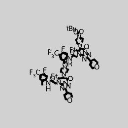 CCc1c(N2CCN(C(=O)OC(C)(C)C)CC2)c(=O)n2nc(C3=CCOCC3)nc2n1CC(=O)Nc1cc(F)c(C(F)(F)F)cc1C.CCc1c(N2CCNCC2)c(=O)n2nc(C3=CCOCC3)nc2n1CC(=O)Nc1cc(F)c(C(F)(F)F)cc1C